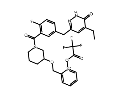 CCc1cc(Cc2ccc(F)c(C(=O)N3CCCC(OCc4cccc[n+]4OC(=O)C(F)(F)F)C3)c2)n[nH]c1=O